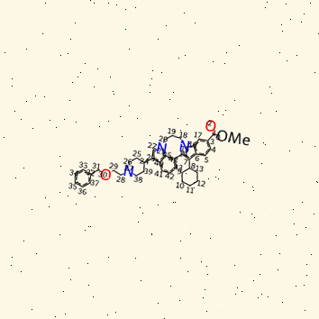 COC(=O)c1ccc2c(C3CCCCC3)c3n(c2c1)CCCn1cc(C2CCN(CCOCc4ccccc4)CC2)c2cccc-3c21